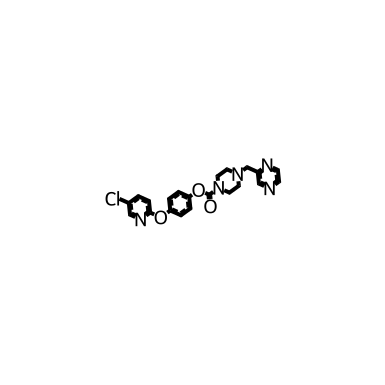 O=C(Oc1ccc(Oc2ccc(Cl)cn2)cc1)N1CCN(Cc2cnccn2)CC1